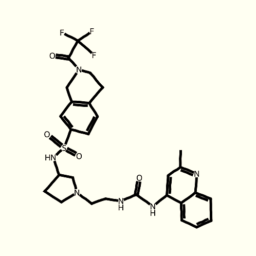 Cc1cc(NC(=O)NCCN2CCC(NS(=O)(=O)c3ccc4c(c3)CN(C(=O)C(F)(F)F)CC4)C2)c2ccccc2n1